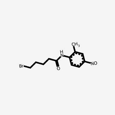 Cc1cc(N=O)ccc1NC(=O)CCCCBr